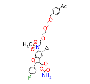 CC(=O)c1ccc(COCCOCCOCCN(c2cc3oc(-c4ccc(F)cc4)c(C(=O)OC(N)=O)c3cc2C2CC2)S(C)(=O)=O)cc1